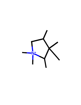 CC1C[N+](C)(C)C(C)C1(C)C